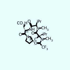 CC(C)C(C(=O)N[C@@H](CC(=O)O)C(=O)N1CCCC1)N(C)C(=O)[C@](C)(C(C)C)N(C)C(=O)C(F)(F)F